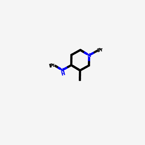 CC(C)NC1CCN(C(C)C)CC1C